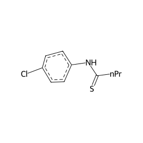 CCCC(=S)Nc1ccc(Cl)cc1